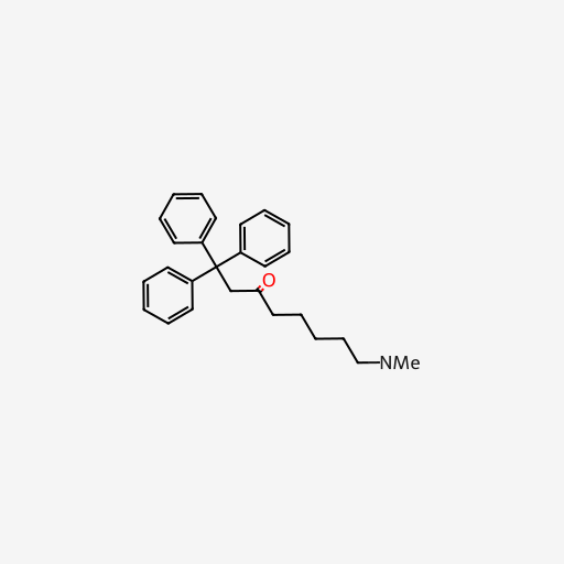 CNCCCCCC(=O)CC(c1ccccc1)(c1ccccc1)c1ccccc1